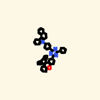 c1ccc(-c2nc(-c3ccc(-n4c5ccccc5c5c6ccccc6ccc54)cc3)nc(-c3ccc4c(c3)C3(c5ccccc5O4)c4ccccc4-c4ccccc43)n2)cc1